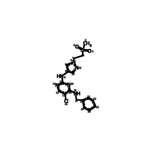 CS(=O)(=O)CCn1cc(Nc2ncc(Cl)c(NCc3ccccc3)n2)cn1